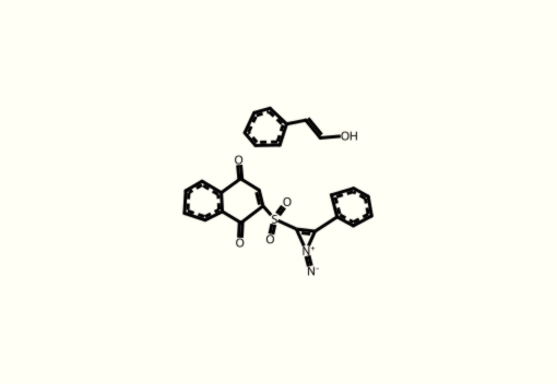 OC=Cc1ccccc1.[N-]=[N+]1C(c2ccccc2)=C1S(=O)(=O)C1=CC(=O)c2ccccc2C1=O